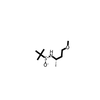 COCC[C@H](C)N[S@+]([O-])C(C)(C)C